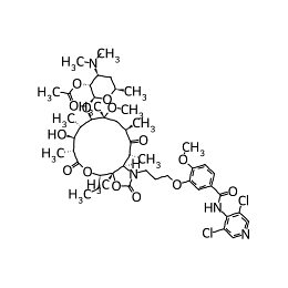 CC[C@H]1OC(=O)[C@H](C)[C@@H](O)[C@H](C)[C@@H](O[C@@H]2O[C@H](C)C[C@H](N(C)C)[C@H]2OC(C)=O)[C@](C)(OC)C[C@@H](C)C(=O)[C@H](C)[C@H]2N(CCCOc3cc(C(=O)Nc4c(Cl)cncc4Cl)ccc3OC)C(=O)O[C@]12C